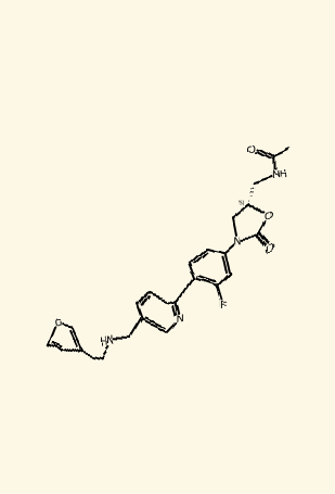 CC(=O)NC[C@H]1CN(c2ccc(-c3ccc(CNCc4ccoc4)cn3)c(F)c2)C(=O)O1